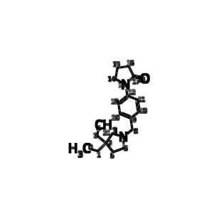 CCC1(CC)CCN(Cc2ccc(N3CCCC3=O)cc2)C1